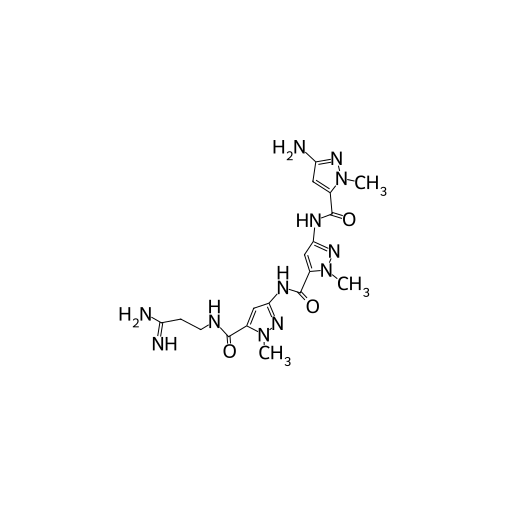 Cn1nc(NC(=O)c2cc(NC(=O)c3cc(N)nn3C)nn2C)cc1C(=O)NCCC(=N)N